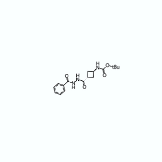 CC(C)(C)OC(=O)N[C@H]1C[C@H](C(=O)NNC(=O)c2ccccc2)C1